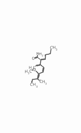 C/C=C(\C=C/C(OC)=C(\C)CC)C(=C/CCC)/C(N)=O